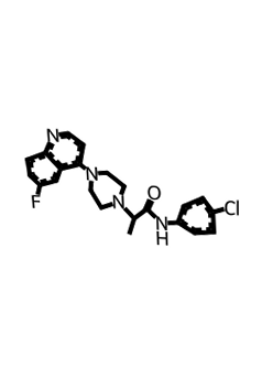 CC(C(=O)Nc1ccc(Cl)cc1)N1CCN(c2ccnc3ccc(F)cc23)CC1